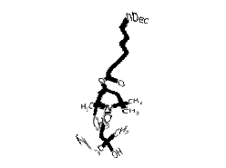 CCCCCCCCCCCCCCCC(=O)OC1CC(C)(C)N(OCC(C)(C)O)C(C)(C)C1